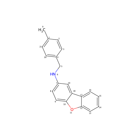 Cc1ccc(CNc2ccc3oc4ccccc4c3c2)cc1